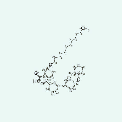 CCCCCCCCCCCCOc1ccc(C(=O)c2ccccc2)c(C(=O)O)c1.c1ccc2c(c1)Cc1ccccc1O2